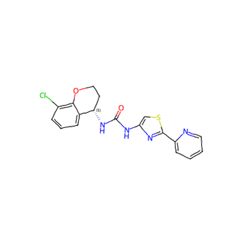 O=C(Nc1csc(-c2ccccn2)n1)N[C@H]1CCOc2c(Cl)cccc21